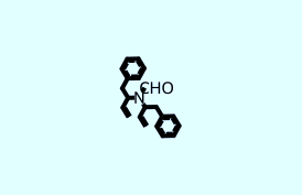 C=CC(Cc1ccccc1)N(C=O)C(C=C)Cc1ccccc1